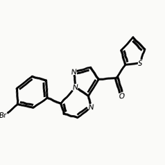 O=C(c1cccs1)c1cnn2c(-c3cccc(Br)c3)ccnc12